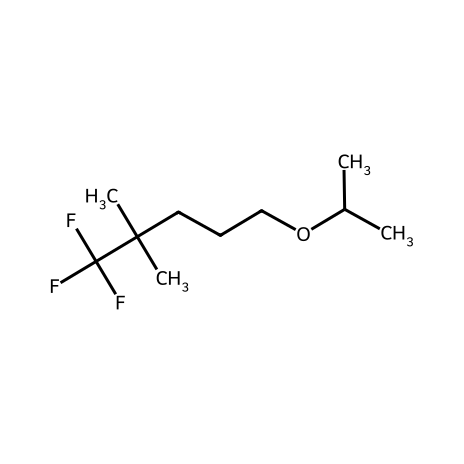 CC(C)OCCCC(C)(C)C(F)(F)F